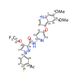 COc1cc2nccc(Oc3ccc(NC(=O)c4nn(-c5ccc(F)c(C(C)=O)c5)cc4OCC(F)(F)F)nc3)c2cc1OC